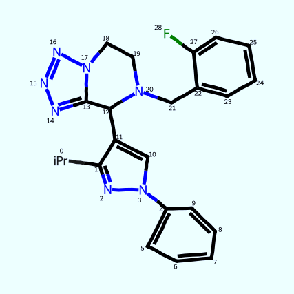 CC(C)c1nn(-c2ccccc2)cc1C1c2nnnn2CCN1Cc1ccccc1F